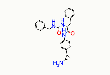 NC1CC1c1ccc(NC(=O)C(Cc2ccccc2)NC(=O)NCc2ccccc2)cc1